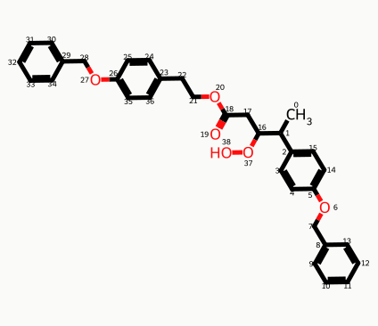 CC(c1ccc(OCc2ccccc2)cc1)C(CC(=O)OCCc1ccc(OCc2ccccc2)cc1)OO